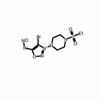 CCS(=O)(=O)N1CCN([n+]2noc([N-]N=O)c2Br)CC1